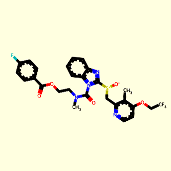 Cc1c(OCC(F)(F)F)ccnc1C[S+]([O-])c1nc2ccccc2n1C(=O)N(C)CCOC(=O)c1ccc(F)cc1